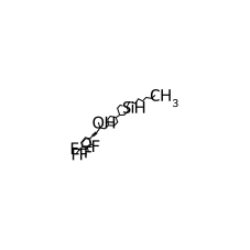 CCCCCCC[SiH]1CCC(C2CCC(CC(O)C#Cc3ccc(C(F)(F)F)c(F)c3F)CC2)CC1